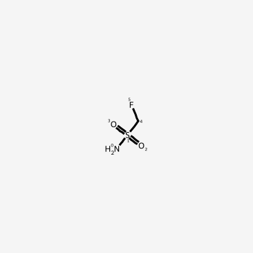 NS(=O)(=O)CF